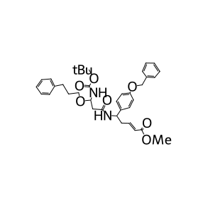 COC(=O)C=CCC(NC(=O)CC(NC(=O)OC(C)(C)C)OCCCc1ccccc1)c1ccc(OCc2ccccc2)cc1